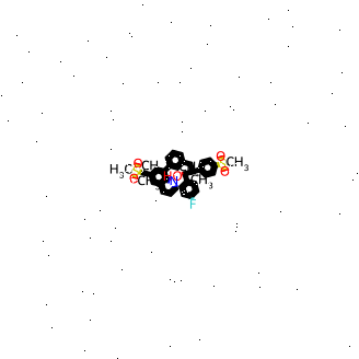 CC(O)(c1ccc(F)cc1)C(C)(Cc1cccc(-c2cc(C(C)(C)S(C)(=O)=O)cc3cccnc23)c1)c1ccc(S(C)(=O)=O)cc1